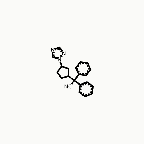 N#CC(c1ccccc1)(c1ccccc1)C1CCC(n2cncn2)C1